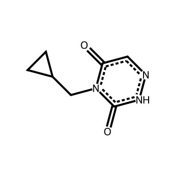 O=c1cn[nH]c(=O)n1CC1CC1